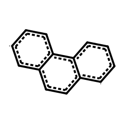 [c]1ccc2c(c1)ccc1[c]cccc12